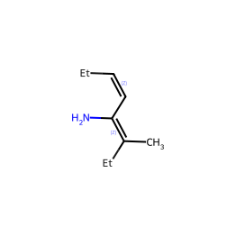 CC/C=C\C(N)=C(/C)CC